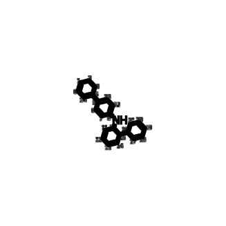 C1=CCCC(c2ccc(NC3C=CC=CC3C3C=CC=CC3)cc2)=C1